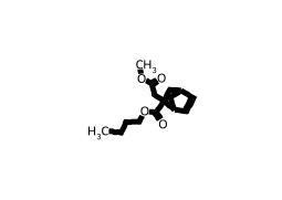 CCCCOC(=O)C1(CC(=O)OC)CC2C=CC1C2